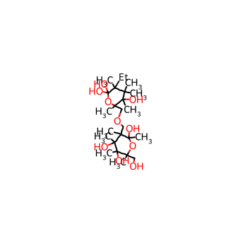 CCC1(C)C(O)(O)OC(C)(COCC2(C)C(C)(O)OC(C)(CO)C(C)(O)C2(C)O)C(C)(O)C1(C)C